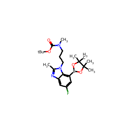 Cc1nc2cc(F)cc(B3OC(C)(C)C(C)(C)O3)c2n1CCCN(C)C(=O)OC(C)(C)C